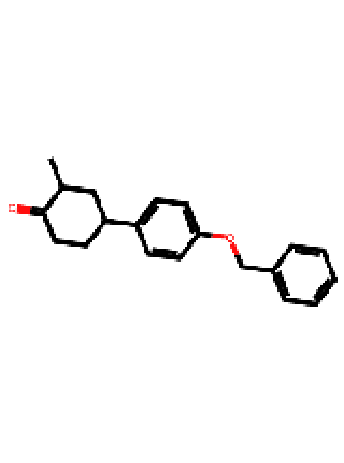 CC1CC(c2ccc(OCc3ccccc3)cc2)CCC1=O